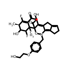 C[C@H]1C(F)=C2C(=O)CC3=C4CC5=CCCC5=C4N(Cc4ccc(OCCO)cc4)OC3(C(=O)CO)C2(C)C(F)C1O